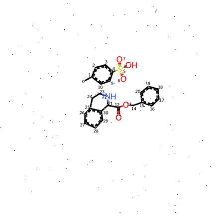 Cc1ccc(S(=O)(=O)O)cc1.O=C(OCc1ccccc1)C1NCCc2ccccc21